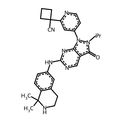 CC(C)n1c(=O)c2cnc(Nc3ccc4c(c3)CCNC4(C)C)nc2n1-c1ccnc(C2(C#N)CCC2)c1